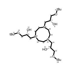 CC(C)(C)OC[C@H](O)CN1CCN(C[C@@H](O)COC(C)(C)C)CCN(C[C@@H](O)COC(C)(C)C)CC1